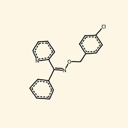 Clc1ccc(CON=C(c2ccccc2)c2ccccn2)cc1